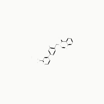 CN(C)c1cc(-c2ccc(Cn3cnc4ccccc4c3=O)c(F)c2)ccn1